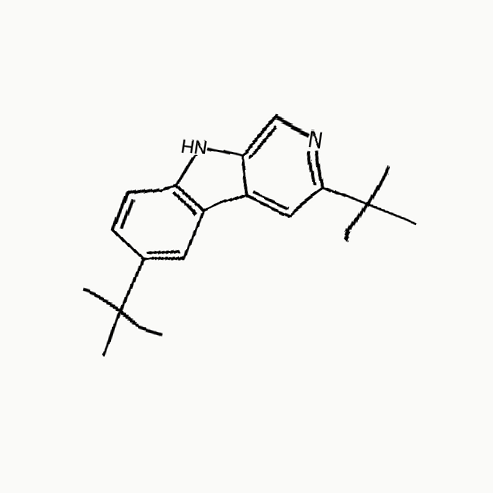 CC(C)(C)c1ccc2[nH]c3cnc(C(C)(C)C)cc3c2c1